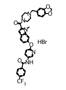 Br.Cn1c(C(=O)N2CCN(Cc3ccc4c(c3)OCO4)CC2)cc2ccc(Oc3ccc(NC(=O)c4ccc(C(F)(F)F)cc4)cn3)cc21